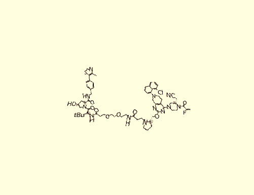 C=C(F)C(=O)N1CCN(c2nc(OC[C@@H]3CCCN3CCC(=O)NCCOCCOCCC(=O)N[C@H](C(=O)N3C[C@H](O)C[C@H]3C(=O)NCc3ccc(-c4scnc4C)cc3)C(C)(C)C)nc3c2CCN(c2cccc4cccc(Cl)c24)C3)C[C@@H]1CC#N